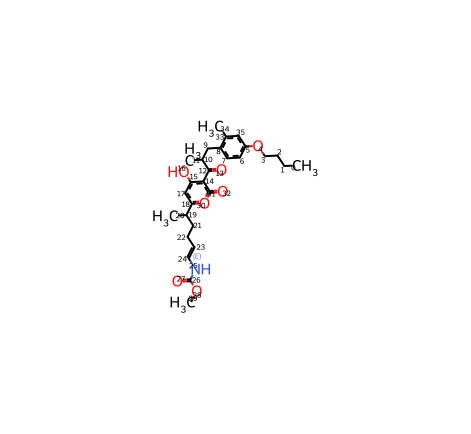 CCCCOc1ccc(CC(C)C(=O)c2c(O)cc(C(C)CC/C=C/NC(=O)OC)oc2=O)c(C)c1